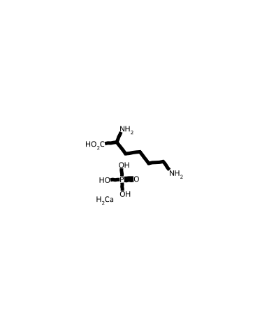 NCCCCC(N)C(=O)O.O=P(O)(O)O.[CaH2]